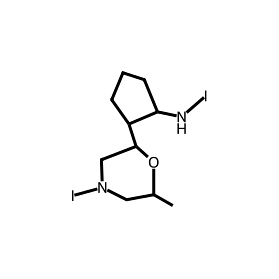 CC1CN(I)CC(C2CCCC2NI)O1